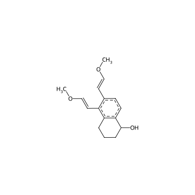 COC=Cc1ccc2c(c1C=COC)CCCC2O